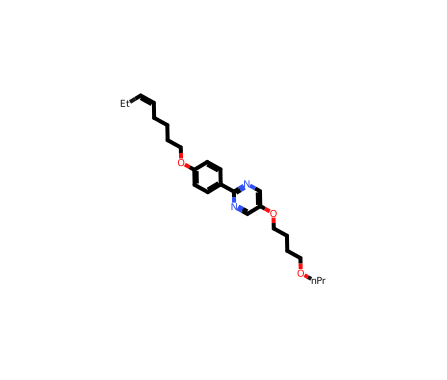 CC/C=C\CCCCOc1ccc(-c2ncc(OCCCCOCCC)cn2)cc1